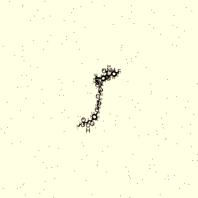 CCOC(=O)C(O)=CC(=O)c1ccc(COCCOCCOCCOCCN(c2cc3oc(-c4ccc(F)cc4)c(C(=O)NC)c3cc2C2CC2)S(C)(=O)=O)cc1